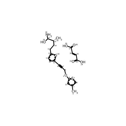 Cc1csc(OCC#Cc2ccc(CC[C@@H](C)C(N)O)s2)c1.O=C(O)C=CC(=O)O